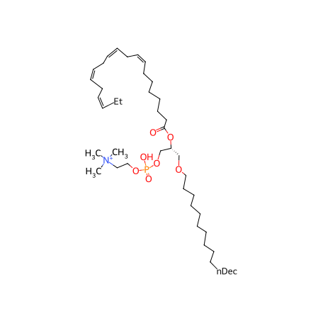 CC/C=C\C/C=C\C/C=C\C/C=C\CCCCCCC(=O)O[C@H](COCCCCCCCCCCCCCCCCCCCC)COP(=O)(O)OCC[N+](C)(C)C